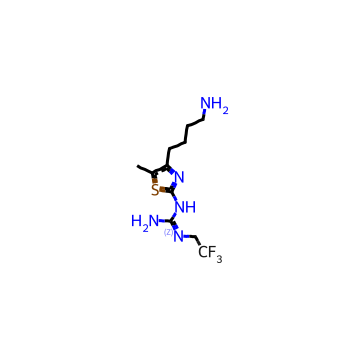 Cc1sc(N/C(N)=N\CC(F)(F)F)nc1CCCCN